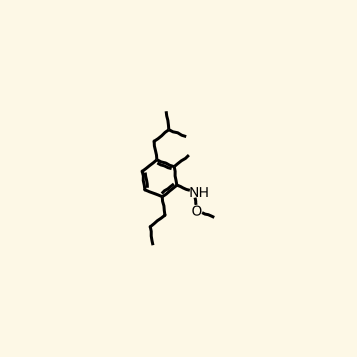 CCCc1ccc(CC(C)C)c(C)c1NOC